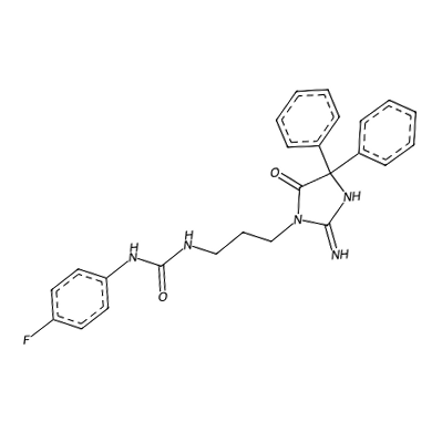 N=C1NC(c2ccccc2)(c2ccccc2)C(=O)N1CCCNC(=O)Nc1ccc(F)cc1